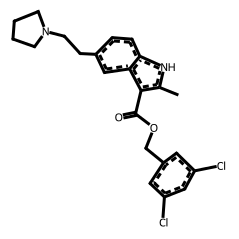 Cc1[nH]c2ccc(CCN3CCCC3)cc2c1C(=O)OCc1cc(Cl)cc(Cl)c1